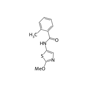 COc1ncc(NC(=O)c2ccccc2C)s1